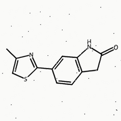 Cc1csc(-c2ccc3c(c2)NC(=O)C3)n1